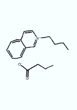 CCCC(=O)[O-].CCCC[n+]1ccc2ccccc2c1